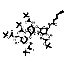 C#CCCCC(=O)NC[C@H]1O[C@H](O[C@H]2[C@H](NC(=O)OC(C)(C)C)C[C@H](NC(=O)OC(C)(C)C)C(O[C@H]3O[C@H](CNC(=O)OC(C)(C)C)[C@@H](O)C[C@H]3NC(=O)OC(C)(C)C)[C@@H]2O)[C@H](O)[C@@H](NC(=O)OC(C)(C)C)[C@@H]1O